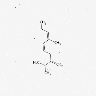 C=C(C/C=C\C(C)=C/CC)C(C)C